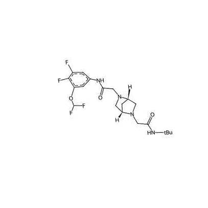 CC(C)(C)NC(=O)CN1C[C@@H]2C[C@H]1CN2CC(=O)Nc1cc(F)c(F)c(OC(F)F)c1